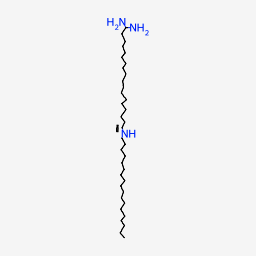 C=C.CCCCCCCCCCCCCCCCCCNCCCCCCCCCCCCCCCCCC(N)N